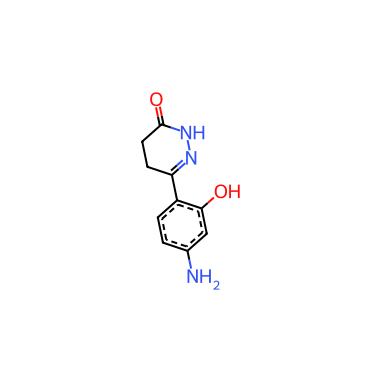 Nc1ccc(C2=NNC(=O)CC2)c(O)c1